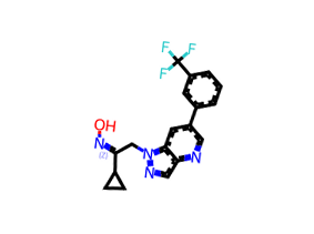 O/N=C(\Cn1ncc2ncc(-c3cccc(C(F)(F)F)c3)cc21)C1CC1